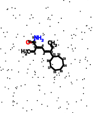 C=C/C(=C\C=C(/C=C)C(N)=O)C1CCCCCCC1